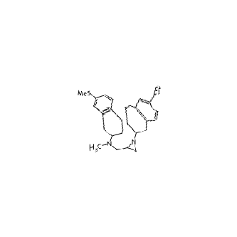 CCc1ccc2c(c1)CCC(N1CC1CN(C)C1CCc3ccc(SC)cc3C1)C2